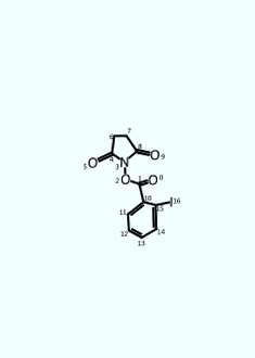 O=C(ON1C(=O)CCC1=O)c1ccccc1I